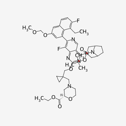 CCOC(=O)[C@@H]1CN(CC2(COc3nc(N4CC5CCC(C4)N5C(=O)OC(C)(C)C)c4cnc(-c5cc(OCOC)cc6ccc(F)c(CC)c56)c(F)c4n3)CC2)CCO1